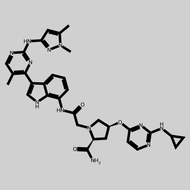 Cc1cnc(Nc2cc(C)n(C)n2)nc1-c1c[nH]c2c(NC(=O)CN3C[C@@H](Oc4ccnc(NC5CC5)n4)C[C@H]3C(N)=O)cccc12